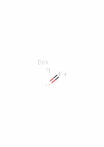 [BiH3].[O]=[Ru].[Tl]